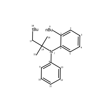 CCCCc1ccccc1N(c1ccccc1)C(C)(C)CC(C)(C)C